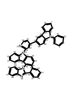 c1ccc(-n2c3ccccc3c3cc(-c4ccnc(-n5c6ccccc6c6c5ccc5c7ccccc7c7nc8ccccc8n7c56)c4)ccc32)cc1